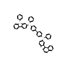 c1ccc(N(c2ccc(-c3ccc(N(c4ccccc4)c4ccc5c6ccccc6n(-c6ccccc6)c5c4)cc3)cc2)c2ccc3oc4ccc5ccccc5c4c3c2)cc1